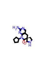 Nc1ncc2c(n1)N(C1CCCC1)C(=O)[C@]1(CCNC1=O)C2